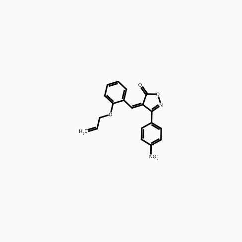 C=CCOc1ccccc1C=C1C(=O)ON=C1c1ccc([N+](=O)[O-])cc1